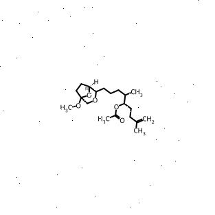 C=C(C)CCC(OC(C)=O)C(C)CCCC1OCC2(OC)CC[C@@H]1O2